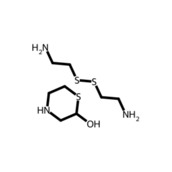 NCCSSCCN.OC1CNCCS1